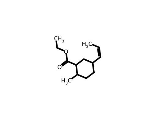 C/C=C\C1CCC(C)C(C(=O)OCC)C1